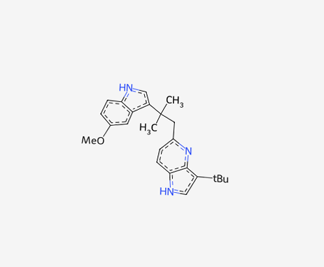 COc1ccc2[nH]cc(C(C)(C)Cc3ccc4[nH]cc(C(C)(C)C)c4n3)c2c1